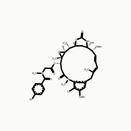 COc1cc2cc(c1Cl)N(C)C(=O)C[C@H](OC(=O)CN(C)C(=O)c1ccc(C(C)=O)cc1)[C@]1(C)O[C@H]1[C@H](C)[C@@H]1C[C@@](O)(NC(=O)O1)[C@H](OC)/C=C/C=C(\C)C2